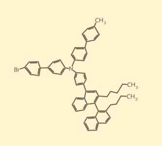 CCCCCc1cc(-c2ccc(N(c3ccc(-c4ccc(C)cc4)cc3)c3ccc(-c4ccc(Br)cc4)cc3)cc2)c2ccccc2c1-c1c(CCCC)ccc2ccccc12